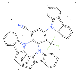 N#Cc1cc(-n2c3ccccc3c3ccccc32)c(C(F)(F)F)c(-n2c3ccccc3c3ccccc32)c1-n1c2ccccc2c2ccccc21